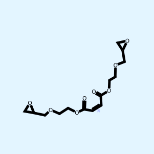 O=C(/C=C\C(=O)OCCOCC1CO1)OCCOCC1CO1